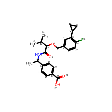 CC(NC(=O)C(OCc1ccc(F)c(C2CC2)c1)C(C)C)c1ccc(C(=O)O)cc1